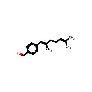 CC(C)=CCC/C(C)=C/c1ccc(C=O)cc1